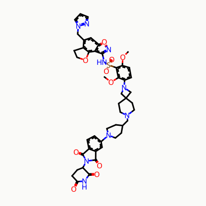 COc1ccc(N2CC3(CCN(CC4CCN(c5ccc6c(c5)C(=O)N(C5CCC(=O)NC5=O)C6=O)CC4)CC3)C2)c(OC)c1S(=O)(=O)Nc1noc2cc(Cn3cccn3)c3c(c12)OCC3